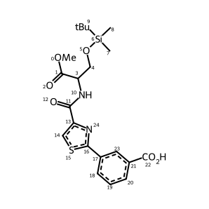 COC(=O)C(CO[Si](C)(C)C(C)(C)C)NC(=O)c1csc(-c2cccc(C(=O)O)c2)n1